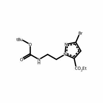 CCOC(=O)c1cc(Br)nn1CCNC(=O)OC(C)(C)C